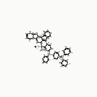 CC1(C)c2cc(N(c3ccccc3)c3ccc(N(c4ccccc4)c4ccccc4)cc3)ccc2-n2c3ccccc3c3c4oc5ccccc5c4cc1c32